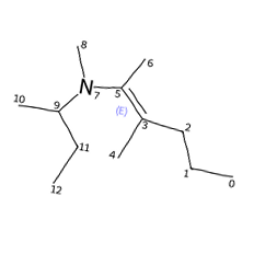 CCC/C(C)=C(\C)N(C)C(C)CC